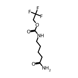 NC(=O)CCCCNC(=O)OCC(F)(F)F